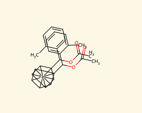 CC(=O)OC(c1ccccc1C)[C]12[CH]3[CH]4[CH]5[CH]1[Fe]45321678[CH]2[CH]1[CH]6[C]7(C(OC(C)=O)c1ccccc1C)[CH]28